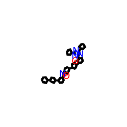 c1ccc(-c2ccc(-c3cccc(-c4nc5ccc(-c6ccc7c(c6)oc6c(-c8nc(-c9ccccc9)nc(-c9ccccc9)n8)cccc67)cc5o4)c3)cc2)cc1